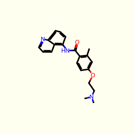 Cc1cc(OCCN(C)C)ccc1C(=O)Nc1cccc2ncccc12